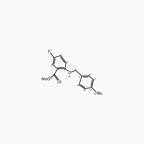 COC(=O)c1cc(F)ccc1OCc1ccc(C(C)(C)C)cc1